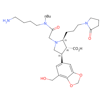 CCCCN(CCCCN)C(=O)CN1C[C@H](c2cc(CO)c3c(c2)OCO3)[C@@H](C(=O)O)[C@@H]1CCCN1CCCC1=O